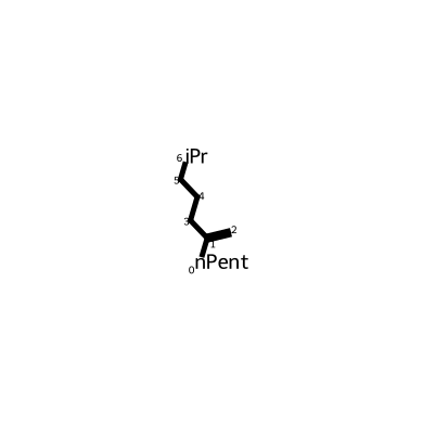 [CH2]CCCCC(=C)CCCC(C)C